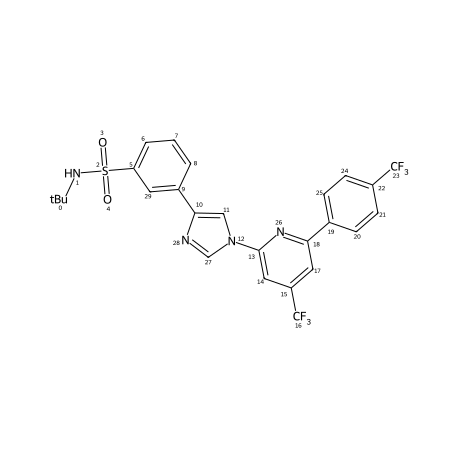 CC(C)(C)NS(=O)(=O)c1cccc(-c2cn(-c3cc(C(F)(F)F)cc(-c4ccc(C(F)(F)F)cc4)n3)cn2)c1